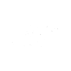 [2H]C([2H])([2H])C(c1ccc(O)cc1)(c1ccc(O)cc1)C([2H])([2H])[2H]